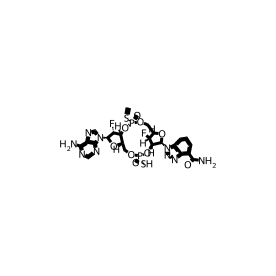 C#S[P@]1(=O)OC[C@H]2O[C@@H](n3nnc4c(C(N)=O)cccc43)[C@H](O[P@](=O)(S)OC[C@H]3O[C@@H](n4cnc5c(N)ncnc54)[C@H](F)[C@@H]3O1)[C@@H]2F